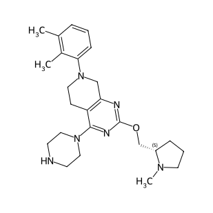 Cc1cccc(N2CCc3c(nc(OC[C@@H]4CCCN4C)nc3N3CCNCC3)C2)c1C